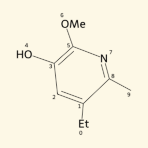 CCc1cc(O)c(OC)nc1C